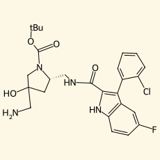 CC(C)(C)OC(=O)N1CC(O)(CN)C[C@H]1CNC(=O)c1[nH]c2ccc(F)cc2c1-c1ccccc1Cl